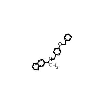 CC(N=Cc1ccc(OCc2ccccc2)cc1)c1ccc2ccccc2c1